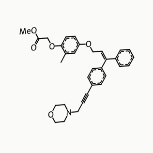 COC(=O)COc1ccc(OCC=C(c2ccccc2)c2ccc(C#CCN3CCOCC3)cc2)cc1C